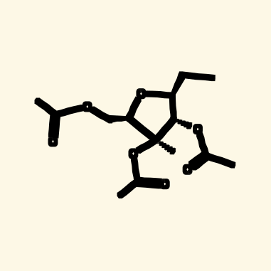 CC[C@@H]1O[C@H](COC(C)=O)[C@](C)(OC(C)=O)[C@H]1OC(C)=O